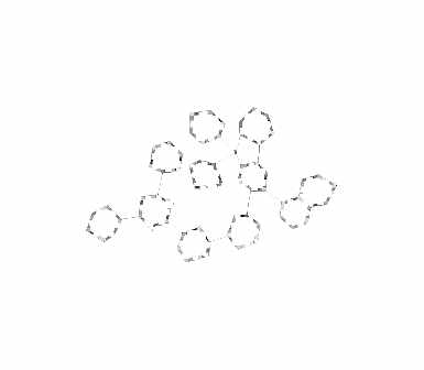 c1ccc(-c2cc(-c3ccccc3)nc(-c3cccc(-c4cccc(-c5cc6c(cc5-c5cccc7ccccc57)-c5ccccc5C6(c5ccccc5)c5ccccc5)c4)c3)n2)cc1